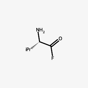 CC(C)[C@H](N)C(=O)F